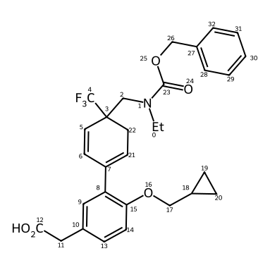 CCN(CC1(C(F)(F)F)C=CC(c2cc(CC(=O)O)ccc2OCC2CC2)=CC1)C(=O)OCc1ccccc1